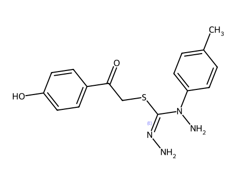 Cc1ccc(N(N)/C(=N\N)SCC(=O)c2ccc(O)cc2)cc1